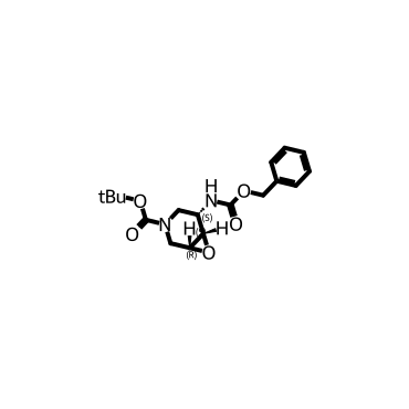 CC(C)(C)OC(=O)N1C[C@H](NC(=O)OCc2ccccc2)[C@@H]2O[C@@H]2C1